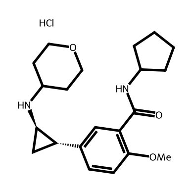 COc1ccc([C@@H]2C[C@H]2NC2CCOCC2)cc1C(=O)NC1CCCC1.Cl